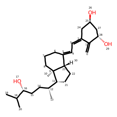 C=C1/C(=C\C=C2/CCC[C@]3(C)[C@@H]([C@H](C)CC[C@@H](O)C(C)C)CC[C@@H]23)C[C@@H](O)C[C@@H]1O